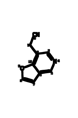 N#CCc1cncc2ccoc12